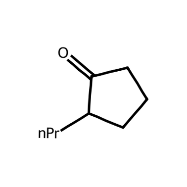 [CH2]CCC1CCCC1=O